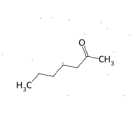 CCC[CH]CC(C)=O